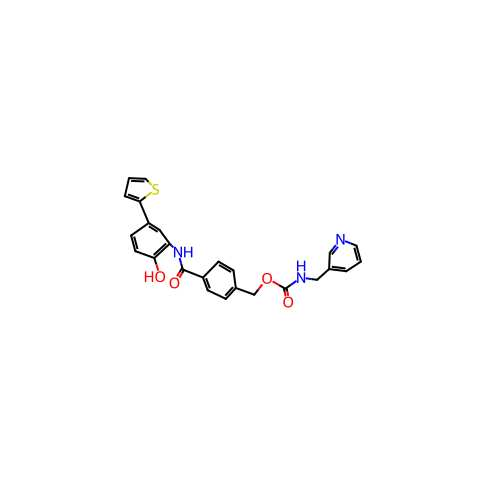 O=C(NCc1cccnc1)OCc1ccc(C(=O)Nc2cc(-c3cccs3)ccc2O)cc1